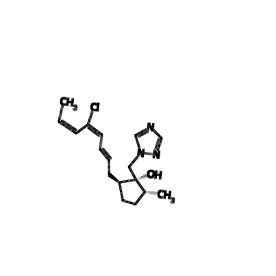 C\C=C/C(Cl)=C\C=C\C[C@@H]1CC[C@@H](C)[C@]1(O)Cn1cncn1